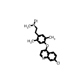 CCN(C)CCc1cc(C)c(Oc2ccnc3cc(Cl)ccc23)cc1C